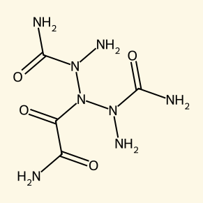 NC(=O)C(=O)N(N(N)C(N)=O)N(N)C(N)=O